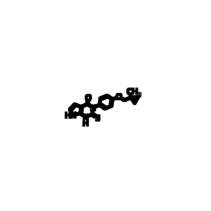 CC1(COc2ccc(-n3c(=S)[nH]c4[nH]ccc4c3=O)cc2)CC1